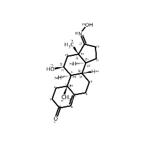 C[C@]12CCC(=O)C=C1CC[C@@H]1[C@@H]2[C@@H](O)C[C@]2(C)C(=NO)CC[C@@H]12